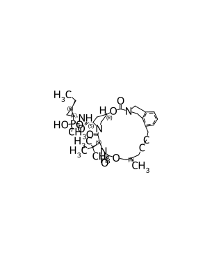 CC[C@@H]1C[C@]1(NC(=O)[C@@H]1C[C@@H]2CN1C(=O)[C@H](C(C)(C)C)NC(=O)OC[C@H](C)CCCCc1cccc3c1CN(C3)C(=O)O2)P(C)(=O)O